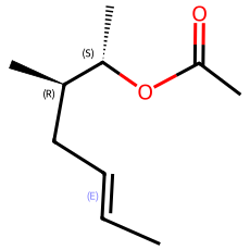 C/C=C/C[C@@H](C)[C@H](C)OC(C)=O